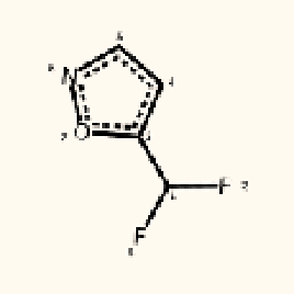 FC(F)c1ccno1